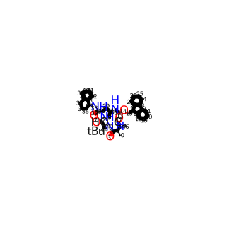 C[C@@H](C(=O)N[C@H](C(=O)N1C[C@@H](NC(=O)OCC2c3ccccc3-c3ccccc32)C[C@H]1C(=O)N[C@@H]1CCCc2ccccc21)C(C)(C)C)N(C)C(=O)O